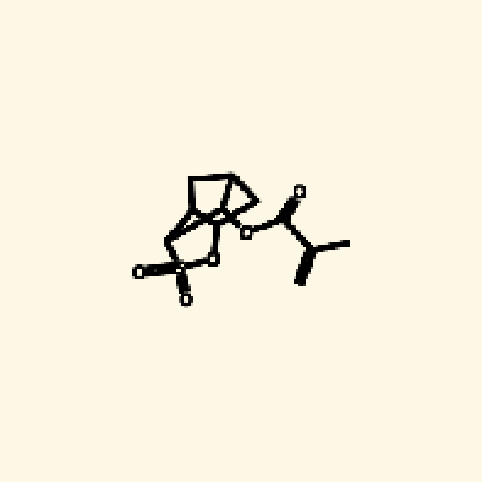 C=C(C)C(=O)OC1C2CC3OS(=O)(=O)C1C3C2